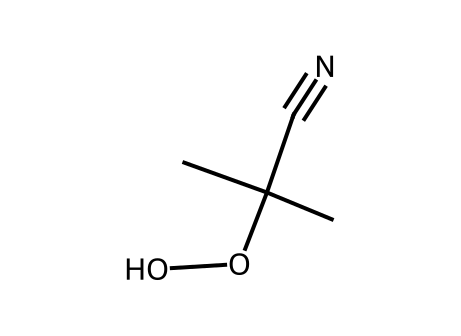 CC(C)(C#N)OO